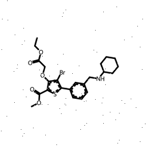 CCOC(=O)COc1c(C(=O)OC)sc(-c2cccc(CNC3CCCCC3)c2)c1Br